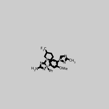 COc1cc([N+]2(C(C)C)N=C(N)N=C2N2CCCC(C(F)(F)F)C2)ccc1-n1cnc(C)n1